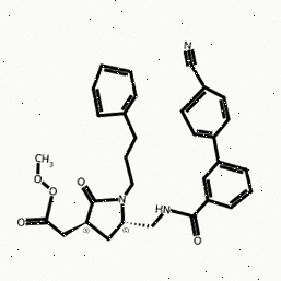 COOC(=O)C[C@@H]1C[C@@H](CNC(=O)c2cccc(-c3ccc(C#N)cc3)c2)N(CCCc2ccccc2)C1=O